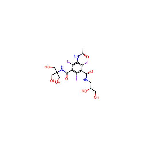 CC(=O)Nc1c(I)c(C(=O)NCC(O)CO)c(I)c(C(=O)NC(CO)(CO)CO)c1I